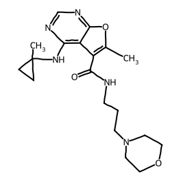 Cc1oc2ncnc(NC3(C)CC3)c2c1C(=O)NCCCN1CCOCC1